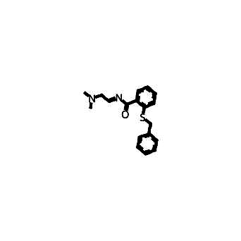 CN(C)CC=NC(=O)c1ccccc1SCc1ccccc1